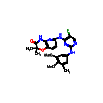 COc1cc(Nc2ncc(F)c(Nc3ccc4c(n3)NC(=O)C(C)(C)O4)n2)cc(C)c1OC